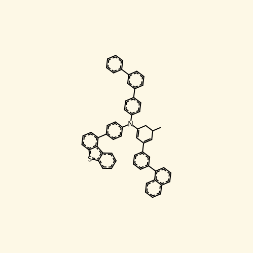 CC1C=C(c2cccc(-c3cccc4ccccc34)c2)C=C(N(c2ccc(-c3cccc(-c4ccccc4)c3)cc2)c2ccc(-c3cccc4sc5ccccc5c34)cc2)C1